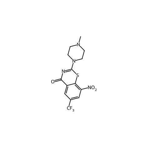 CN1CCN(c2nc(=O)c3cc(C(F)(F)F)cc([N+](=O)[O-])c3s2)CC1